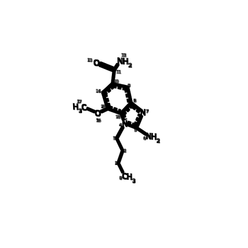 CCCCn1c(N)nc2cc(C(N)=O)cc(OC)c21